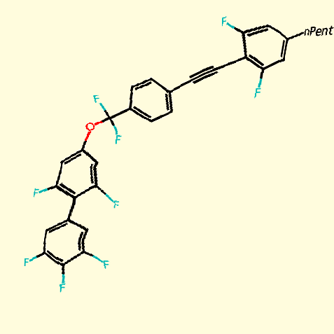 CCCCCc1cc(F)c(C#Cc2ccc(C(F)(F)Oc3cc(F)c(-c4cc(F)c(F)c(F)c4)c(F)c3)cc2)c(F)c1